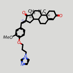 COc1cc(/C=C2\CC3C4CCC5=CC(=O)CC[C@]5(C)C4CC[C@]3(C)C2=O)ccc1OCCCn1ccnc1